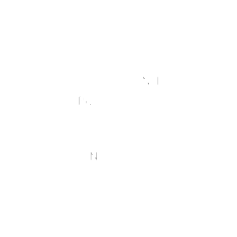 N#CC=N.[Pd]